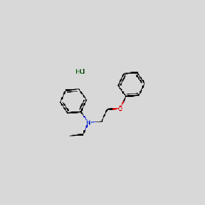 CCN(CCOc1ccccc1)c1ccccc1.Cl